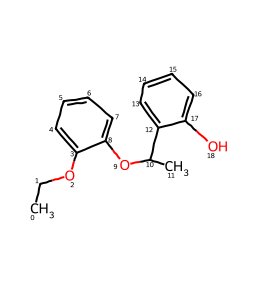 CCOc1ccccc1OC(C)c1ccccc1O